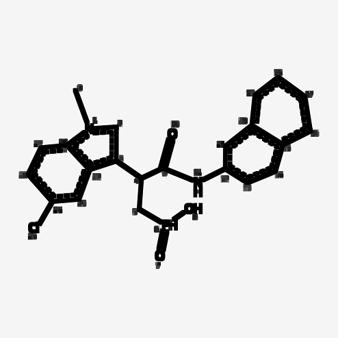 Cn1cc(C(C[PH](=O)O)C(=O)Nc2ccc3ccccc3c2)c2cc(Cl)ccc21